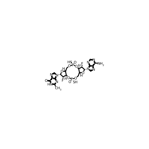 Cc1nc2c(ncn2[C@@H]2O[C@@H]3CO[P@@](=O)(S)O[C@H]4[C@@H](F)[C@H](n5cnc6c(N)ncnc65)O[C@@H]4CO[P@@](=O)(S)O[C@H]3[C@H]2F)c(=O)[nH]1